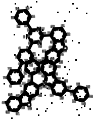 c1ccc(-c2ccc(-c3nc(-c4ccccc4)nc(-c4cccc5oc6ccc(-c7cccc(-c8cc9c(cc8-n8c%10ccccc%10c%10cc(-c%11ccccc%11)ccc%108)oc8ccccc89)c7)cc6c45)n3)cc2)cc1